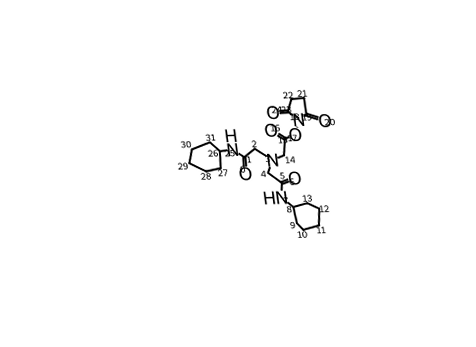 O=C(CN(CC(=O)NC1CCCCC1)CC(=O)ON1C(=O)CCC1=O)NC1CCCCC1